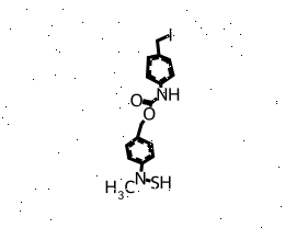 CN(S)c1ccc(COC(=O)Nc2ccc(CI)cc2)cc1